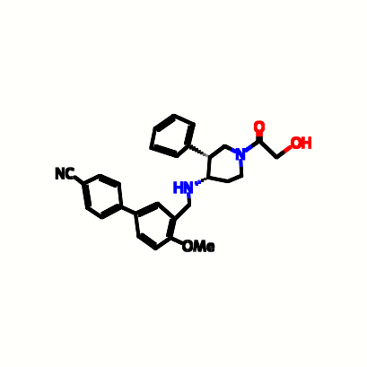 COc1ccc(-c2ccc(C#N)cc2)cc1CN[C@H]1CCN(C(=O)CO)C[C@H]1c1ccccc1